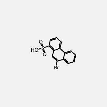 O=S(=O)(O)c1cccc2c1cc(Br)c1ccccc12